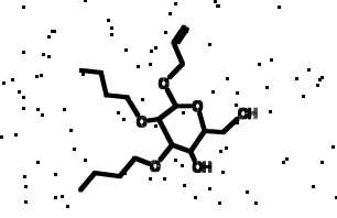 C=CCOC1OC(CO)C(O)C(OCCCC)C1OCCCC